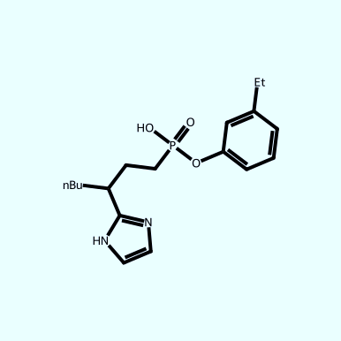 CCCCC(CCP(=O)(O)Oc1cccc(CC)c1)c1ncc[nH]1